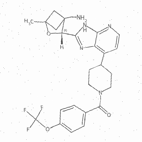 CC12CC(N)(C1)[C@H](c1nc3c(C4CCN(C(=O)c5ccc(OC(F)(F)F)cc5)CC4)ccnc3[nH]1)O2